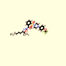 CCCCCC(C)ONC(=O)c1ccccc1S(=O)(=O)N1CCN(c2ccc(OC(F)(F)F)cc2)CC1